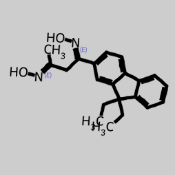 CCC1(CC)c2ccccc2-c2ccc(/C(C/C(C)=N/O)=N/O)cc21